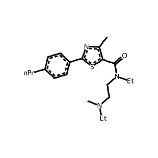 CCCc1ccc(-c2nc(C)c(C(=O)N(CC)CCN(C)CC)s2)cc1